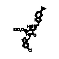 CCOC(=O)C1CC1C(=N)/C(=C\NCc1cn2cc(C3CC3)ccc2n1)C(=O)NCc1ncn2ccc(Cl)cc12